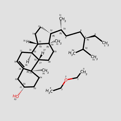 CCOCC.CC[C@H](CC[C@@H](C)[C@H]1CC[C@H]2[C@@H]3CC=C4C[C@@H](O)CC[C@]4(C)[C@H]3CC[C@]12C)C(C)C